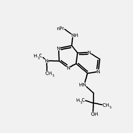 CCCNc1nc(N(C)C)nc2c(NCC(C)(C)O)ncnc12